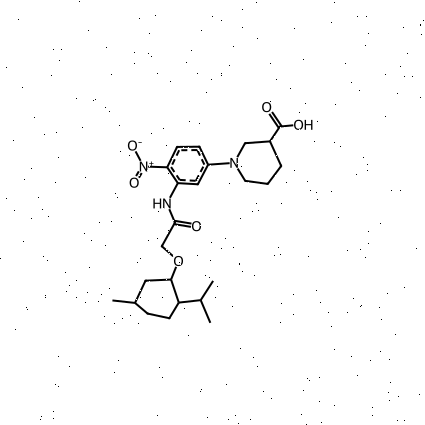 CC1CCC(C(C)C)C(OCC(=O)Nc2cc(N3CCCC(C(=O)O)C3)ccc2[N+](=O)[O-])C1